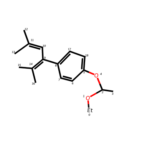 CCOC(C)Oc1ccc(C(C=C(C)C)=C(C)C)cc1